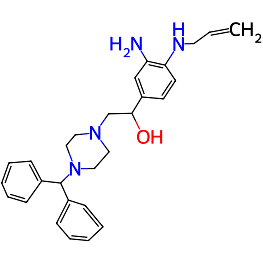 C=CCNc1ccc(C(O)CN2CCN(C(c3ccccc3)c3ccccc3)CC2)cc1N